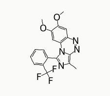 COc1cc2nnc3c(C)nc(-c4ccccc4C(F)(F)F)n3c2cc1OC